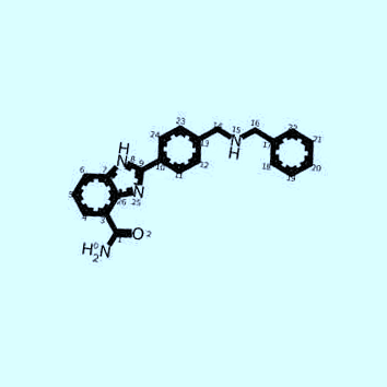 NC(=O)c1cccc2[nH]c(-c3ccc(CNCc4ccccc4)cc3)nc12